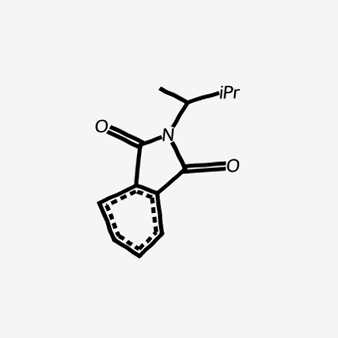 CC(C)C(C)N1C(=O)c2ccccc2C1=O